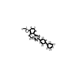 CCOc1cccc2c1CCn1nc(-c3ccc(-c4ccccc4)cc3)nc1-2